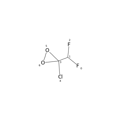 FC(F)C1(Cl)OO1